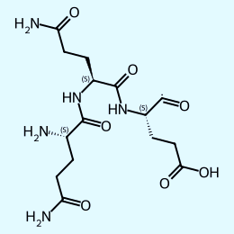 NC(=O)CC[C@H](NC(=O)[C@@H](N)CCC(N)=O)C(=O)N[C@H]([C]=O)CCC(=O)O